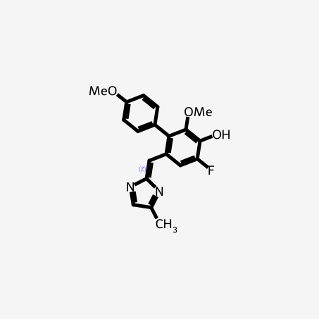 COc1ccc(-c2c(/C=C3/N=CC(C)=N3)cc(F)c(O)c2OC)cc1